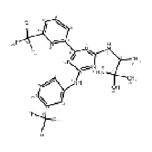 CC(Nc1nc(Nc2ccnc(C(F)(F)F)c2)nc(-c2cccc(C(F)(F)F)n2)n1)C(C)(C)O